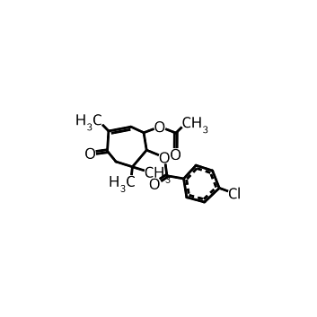 CC(=O)OC1C=C(C)C(=O)CC(C)(C)C1OC(=O)c1ccc(Cl)cc1